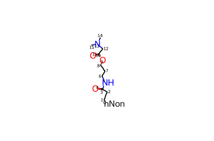 CCCCCCCCCCCC(=O)NCCCOC(=O)CN(C)C